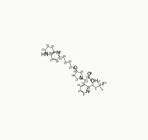 CC(C)(F)CCc1ncccc1C(C(=O)O)N1CC[C@@H](OCCCCc2ccc3c(n2)CCCN3)C1